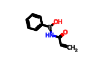 C=CC(=O)NB(O)c1ccccc1